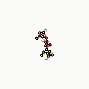 Clc1ccc2c(c1)-c1cccc3c1C2(c1ccc(-c2c(-c4cccc(-c5ccc6c7c5Oc5ccccc5C7(c5ccc(-c7cccc(-c8cccc9c8Oc8cc(Cl)cc%10c8C9(c8ccc(-c9ccccc9)cc8)c8ccccc8-%10)c7)cc5)c5ccc(Cl)cc5-6)c4)ccc4c2sc2ccccc24)cc1)c1ccccc1S3